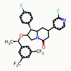 C[C@@H](OC1CN2C(=O)CC(c3ccnc(F)c3)CC2[C@@H]1c1ccc(F)cc1)c1cc(C(F)(F)F)cc(C(F)(F)F)c1